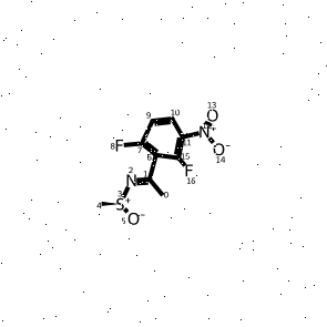 C/C(=N\[S@+](C)[O-])c1c(F)ccc([N+](=O)[O-])c1F